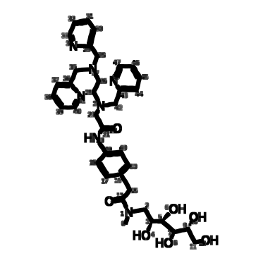 CN(C[C@H](O)[C@@H](O)[C@H](O)[C@H](O)CO)C(=O)Cc1ccc(NC(=O)CN(CCN(Cc2ccccn2)Cc2ccccn2)Cc2ccccn2)cc1